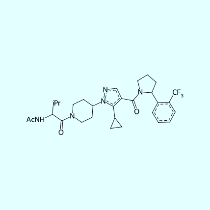 CC(=O)NC(C(=O)N1CCC(n2ncc(C(=O)N3CCCC3c3ccccc3C(F)(F)F)c2C2CC2)CC1)C(C)C